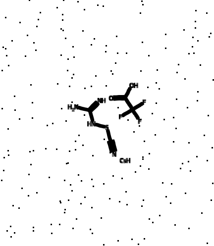 N#CSNC(=N)N.O=C(O)C(F)(F)F.[CsH]